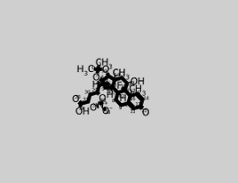 CC1(C)O[C@@H]2C[C@H]3[C@@H]4CCC5=CC(=O)C=C[C@]5(C)C4(F)[C@@H](O)C[C@]3(C)[C@]2(C(=O)CC(CCC(=O)O)O[N+](=O)[O-])O1